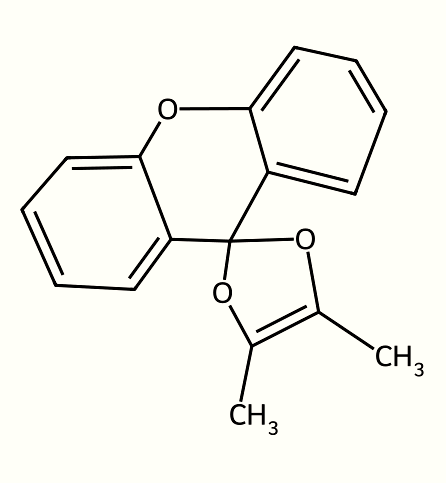 CC1=C(C)OC2(O1)c1ccccc1Oc1ccccc12